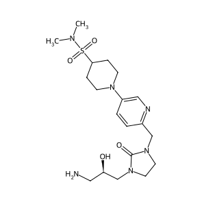 CN(C)S(=O)(=O)C1CCN(c2ccc(CN3CCN(C[C@H](O)CN)C3=O)nc2)CC1